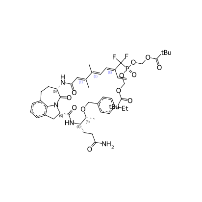 C=C\C(=C/C=C(C)/C(C)=C/C(=O)N[C@H]1CCc2cccc3c2N(C1=O)[C@H](C(=O)N[C@@H](CCC(N)=O)[C@@H](C)OCc1ccc(CC)cc1)C3)C(F)(F)P(=O)(OCOC(=O)C(C)(C)C)OCOC(=O)C(C)(C)C